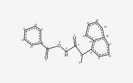 CC(C(=O)NOC(=O)c1ccccc1)c1cccc2ccccc12